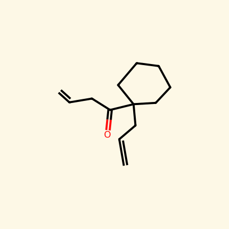 C=CCC(=O)C1(CC=C)CCCCC1